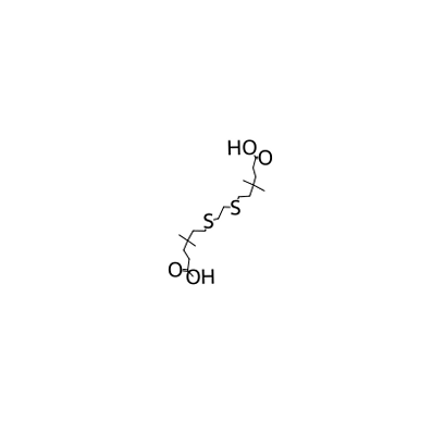 CC(C)(CCSCCSCCC(C)(C)CCC(=O)O)CCC(=O)O